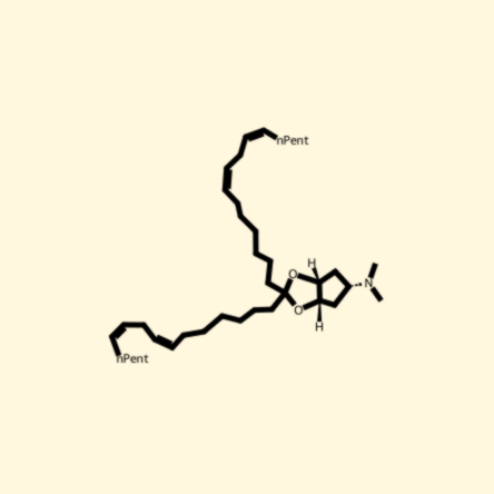 CCCCC/C=C\C/C=C\CCCCCCC1(CCCCCC/C=C\C/C=C\CCCCC)O[C@H]2C[C@@H](N(C)C)C[C@H]2O1